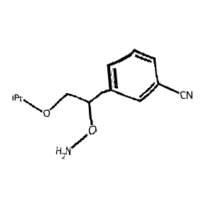 CC(C)OCC(ON)c1cccc(C#N)c1